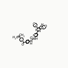 CN(C)C1CCN(C(=O)c2ccc(NC(=O)Nc3ccc(-c4nc(N5CCOCC5)c5c(n4)N4CCOC[C@H]4C5)cn3)cc2)CC1